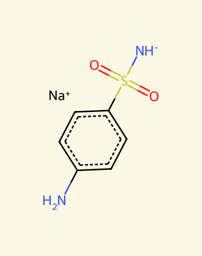 [NH-]S(=O)(=O)c1ccc(N)cc1.[Na+]